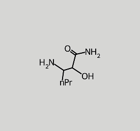 CCCC(N)C(O)C(N)=O